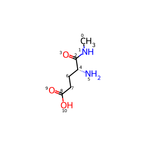 CNC(=O)[C@H](N)CCC(=O)O